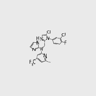 Cc1cc(C(F)(F)F)cc(N(Cc2ncc(Cl)n2-c2ccc(F)c(Cl)c2)c2ncc[nH]2)n1